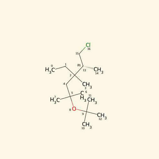 CCC(C)(CC(C)(C)OC(C)(C)C)[C@@H](C)CCl